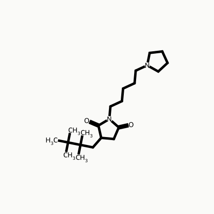 CC(C)(C)C(C)(C)CC1CC(=O)N(CCCCCN2CCCC2)C1=O